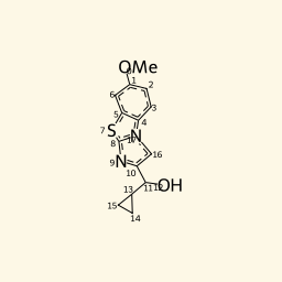 COc1ccc2c(c1)sc1nc(C(O)C3CC3)cn12